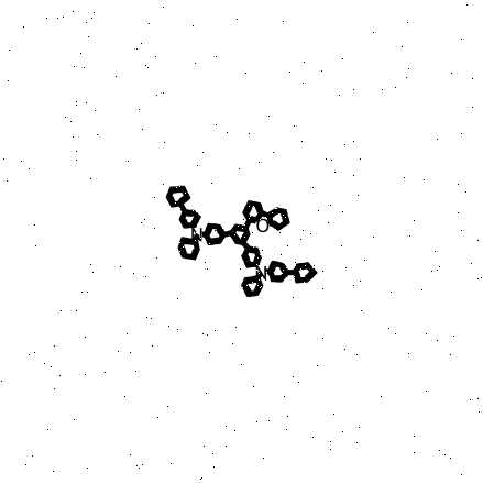 c1ccc(-c2ccc(N(c3ccccc3)c3ccc(-c4cc(-c5ccc(N(c6ccccc6)c6ccc(-c7ccccc7)cc6)cc5)cc(-c5cccc6c5oc5ccccc56)c4)cc3)cc2)cc1